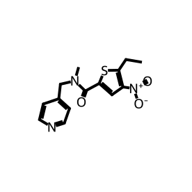 CCc1sc(C(=O)N(C)Cc2ccncc2)cc1[N+](=O)[O-]